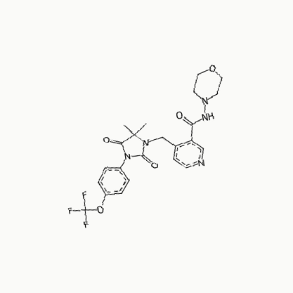 CC1(C)C(=O)N(c2ccc(OC(F)(F)F)cc2)C(=O)N1Cc1ccncc1C(=O)NN1CCOCC1